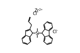 C=CCC1=Cc2ccccc2C1[Si](C)(C)C1c2ccccc2-c2ccccc21.[Cl-].[Cl-].[Zr+2]